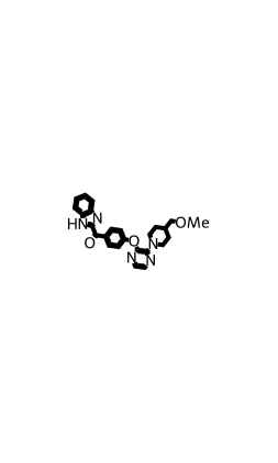 COCC1CCN(c2nccnc2Oc2ccc(C(=O)c3nc4ccccc4[nH]3)cc2)CC1